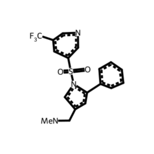 CNCc1cc(-c2ccccc2)n(S(=O)(=O)c2cncc(C(F)(F)F)c2)c1